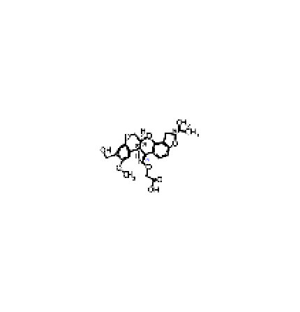 C=C(C)[C@H]1Cc2c(ccc3c2O[C@@H]2COc4cc(CO)c(OC)cc4[C@@H]2/C3=N/OCC(=O)O)O1